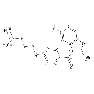 CCCCc1oc2ccc(C)cc2c1C(=O)c1ccc(OCCCN(C)C)cc1